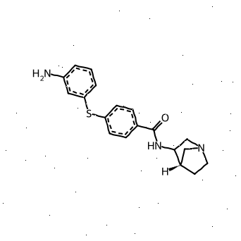 Nc1cccc(Sc2ccc(C(=O)NC3CN4CC[C@H]3C4)cc2)c1